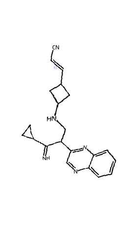 N#C/C=C/C1CC(NCC(C(=N)C2CC2)c2cnc3ccccc3n2)C1